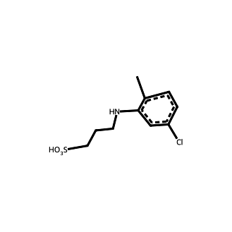 Cc1ccc(Cl)cc1NCCCS(=O)(=O)O